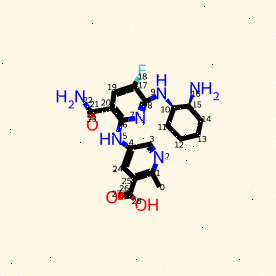 Cc1ncc(Nc2nc(N[C@@H]3CCCC[C@@H]3N)c(F)cc2C(N)=O)cc1C(=O)O